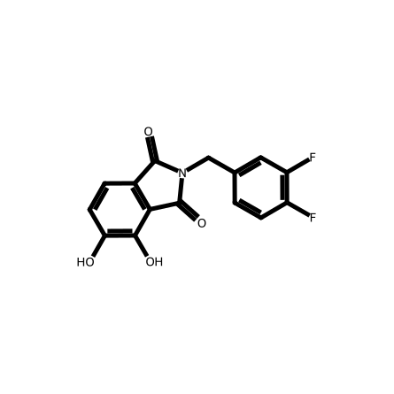 O=C1c2ccc(O)c(O)c2C(=O)N1Cc1ccc(F)c(F)c1